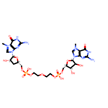 C[n+]1cn([C@@H]2O[C@H](COP(=O)(O)OCCOCCOP(=O)(O)OC[C@@H]3O[C@H](n4c[n+](C)c5c(=O)[nH]c(N)nc54)C(O)[C@@H]3O)C[C@@H]2O)c2nc(N)[nH]c(=O)c21